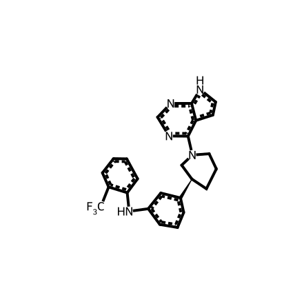 FC(F)(F)c1ccccc1Nc1cccc([C@@H]2CCCN(c3ncnc4[nH]ccc34)C2)c1